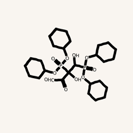 O=CC(=O)C(O)(C(O)P(=O)(OC1CCCCC1)OC1CCCCC1)P(=O)(OC1CCCCC1)OC1CCCCC1